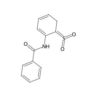 O=C(NC1=CC=CCC1=S(=O)=O)c1ccccc1